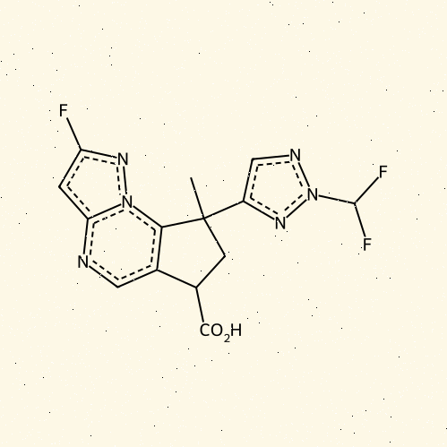 CC1(c2cnn(C(F)F)n2)CC(C(=O)O)c2cnc3cc(F)nn3c21